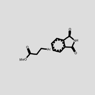 COC(=O)CCC(C)=O.O=C1NC(=O)c2ccccc21